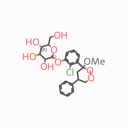 COC1(c2cccc(O[C@@H]3OC(CO)[C@H](O)C(O)C3O)c2Cl)CC(c2ccccc2)COO1